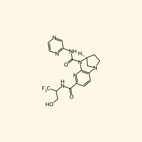 O=C(NC(CO)C(F)(F)F)c1ccc2c(n1)N(C(=O)Nc1cnccn1)[C@H]1CCN2C1